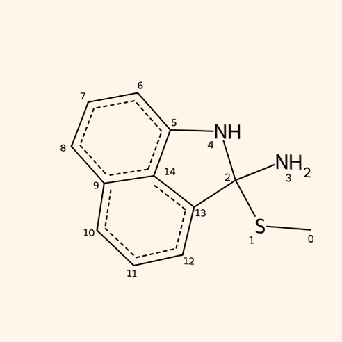 CSC1(N)Nc2cccc3cccc1c23